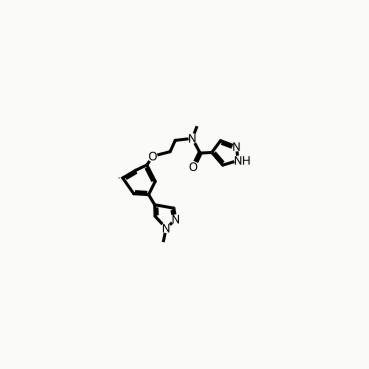 CN(CCOc1c[c]cc(-c2cnn(C)c2)c1)C(=O)c1cn[nH]c1